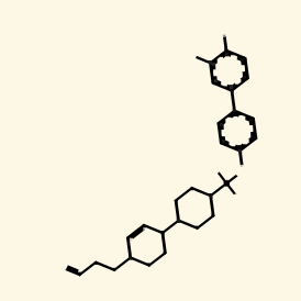 C=CCCC1C=CC(C2CCC(C(F)(F)Oc3ccc(-c4ccc(C(F)(F)F)c(F)c4)cc3)CC2)CC1